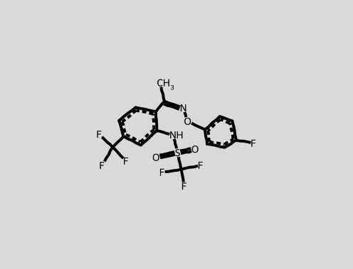 CC(=NOc1ccc(F)cc1)c1ccc(C(F)(F)F)cc1NS(=O)(=O)C(F)(F)F